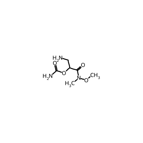 CON(C)C(=O)C(CN)OC(N)=O